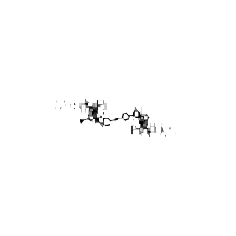 COC(=O)N[C@H](C(=O)N1CC(C2CC2)=C[C@H]1c1nc2ccc(C#Cc3ccc(-c4cnc([C@@H]5CCCN5C(=O)[C@@H](NC(=O)OC)C(C)C)[nH]4)cc3)cc2[nH]1)C(C)C